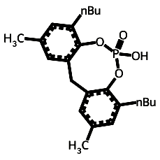 CCCCc1cc(C)cc2c1OP(=O)(O)Oc1c(CCCC)cc(C)cc1C2